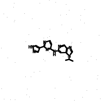 CC(C)n1cnc2cnc(Nc3ccnc(-c4cn[nH]c4)n3)cc21